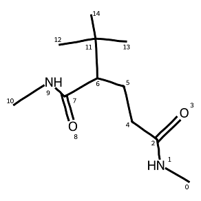 CNC(=O)CCC(C(=O)NC)C(C)(C)C